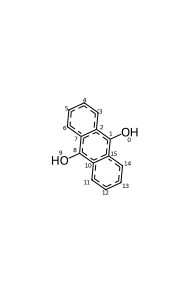 Oc1c2[c]cccc2c(O)c2ccccc12